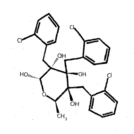 C[C@H]1O[C@H](O)[C@@](O)(Cc2ccccc2Cl)[C@](O)(Cc2ccccc2Cl)[C@]1(O)Cc1ccccc1Cl